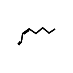 C=C/C=C\[CH]CCC